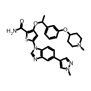 CC(Oc1cc(-n2cnc3cc(-c4cnn(C)c4)ccc32)sc1C(N)=O)c1cccc(OC2CCN(C)CC2)c1